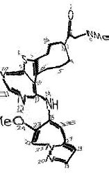 CNC(=O)[C@H]1CCc2c(sc3ncnc(Nc4cc5ccnn5cc4OC)c23)C1